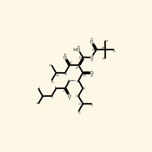 CC(C)CCC(=O)C[C@@H](CCC(C)C)C(=O)/C(C(=O)CC(C)C)=C(/O)OC(=O)C(C)(C)C